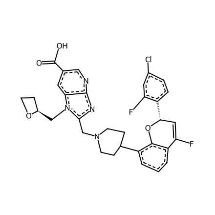 O=C(O)c1cnc2nc(CN3CCC(c4cccc5c4O[C@H](c4ccc(Cl)cc4F)C=C5F)CC3)n(C[C@@H]3CCO3)c2c1